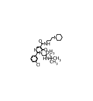 CC(C)(C)NC(=O)Cn1c(-c2cccc(Cl)c2)ncc(C(=O)NCCCN2CCCCC2)c1=O